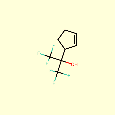 OC(C1C=CCC1)(C(F)(F)F)C(F)(F)F